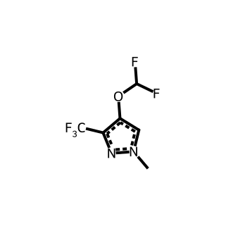 Cn1cc(OC(F)F)c(C(F)(F)F)n1